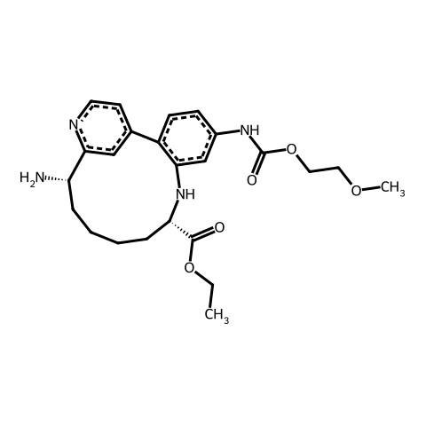 CCOC(=O)[C@@H]1CCCC[C@H](N)c2cc(ccn2)-c2ccc(NC(=O)OCCOC)cc2N1